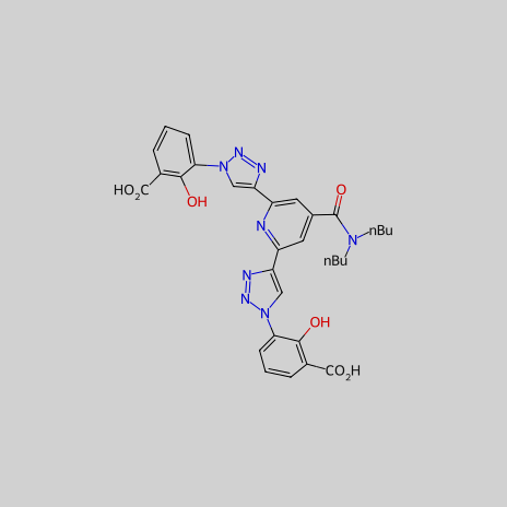 CCCCN(CCCC)C(=O)c1cc(-c2cn(-c3cccc(C(=O)O)c3O)nn2)nc(-c2cn(-c3cccc(C(=O)O)c3O)nn2)c1